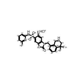 Cl.O=c1oc2cc(S(=O)(=O)Nc3cccc(F)n3)c(F)cc2n1Cc1cccc2c1CNCC2(F)F